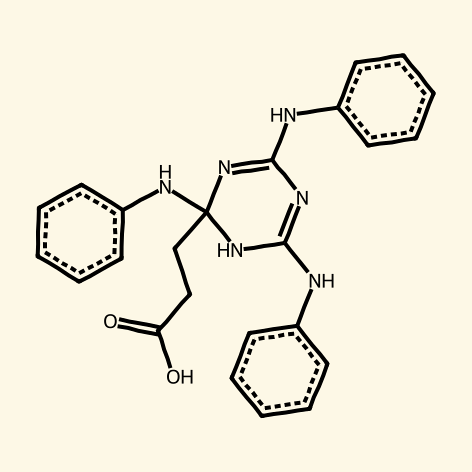 O=C(O)CCC1(Nc2ccccc2)N=C(Nc2ccccc2)N=C(Nc2ccccc2)N1